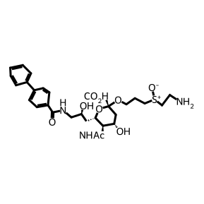 CC(=O)N[C@H]1[C@H](C[C@H](O)CNC(=O)c2ccc(-c3ccccc3)cc2)O[C@@](OCCC[S+]([O-])CCN)(C(=O)O)C[C@@H]1O